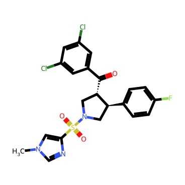 Cn1cnc(S(=O)(=O)N2C[C@H](C(=O)c3cc(Cl)cc(Cl)c3)[C@@H](c3ccc(F)cc3)C2)c1